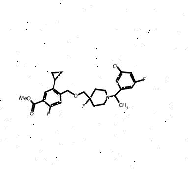 COC(=O)c1cc(C2CC2)c(COCC2(F)CCN(C(C)c3cc(F)cc(Cl)c3)CC2)cc1F